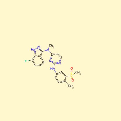 Cc1ccc(Nc2nccc(N(C)c3n[nH]c4c(F)cccc34)n2)cc1S(C)(=O)=O